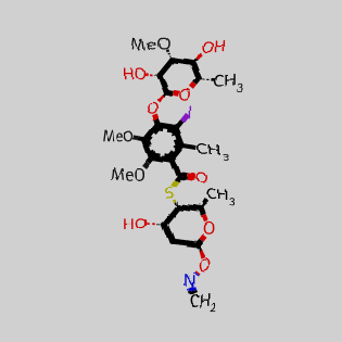 C=NO[C@H]1C[C@H](O)[C@H](SC(=O)c2c(C)c(I)c(O[C@@H]3O[C@@H](C)[C@H](O)[C@@H](OC)[C@H]3O)c(OC)c2OC)[C@@H](C)O1